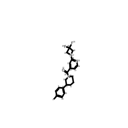 Cc1ccc(C2CCCN(C(=O)c3ccnc(N4CC(F)(F)C4)c3)C2)cc1